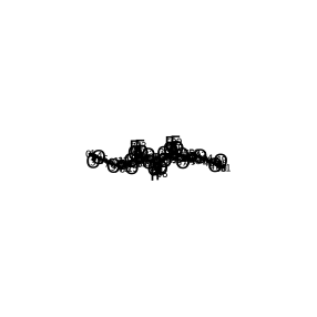 C=CC(=O)OCCCCOc1ccc(C(=O)Oc2ccc(C(=O)Oc3ccc(OC(=O)c4ccc(OC(=O)c5ccc(OCCCCOC(=O)C=C)cc5)c5c4OC(F)(F)O5)c4c3OC(F)(F)O4)c3c2OC(F)(F)O3)cc1